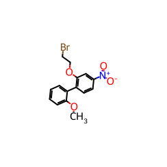 COc1ccccc1-c1ccc([N+](=O)[O-])cc1OCCBr